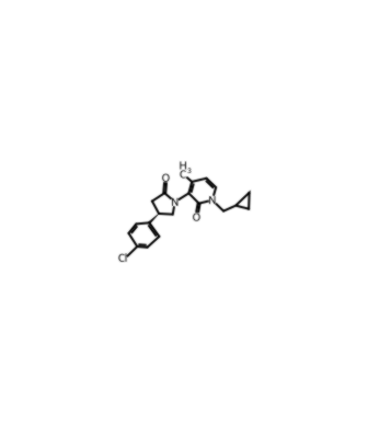 Cc1ccn(CC2CC2)c(=O)c1N1C[C@@H](c2ccc(Cl)cc2)CC1=O